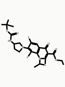 CCOC(=O)c1c2n(c3c(F)c(N4CCC(NC(=O)OC(C)(C)C)C4)c(F)cc3c1=O)C(C)S2